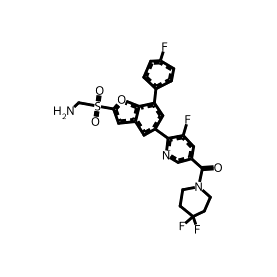 NCS(=O)(=O)c1cc2cc(-c3ncc(C(=O)N4CCC(F)(F)CC4)cc3F)cc(-c3ccc(F)cc3)c2o1